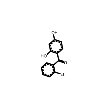 CCc1ccccc1C(=O)c1ccc(O)cc1O